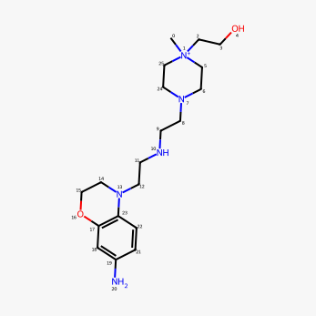 C[N+]1(CCO)CCN(CCNCCN2CCOc3cc(N)ccc32)CC1